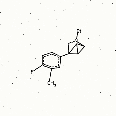 CCN1CC2(c3ccc(F)c(C)c3)C3C1C32